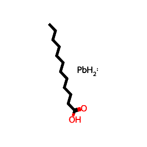 CCCCCCCCCCCC(=O)O.[PbH2]